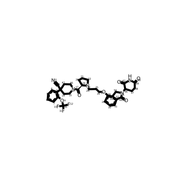 N#CC1(c2ccccc2OC(F)(F)F)CCN(C(=O)[C@H]2CCCN2CCCOc2cccc3c2CN(C2CCC(=O)NC2=O)C3=O)CC1